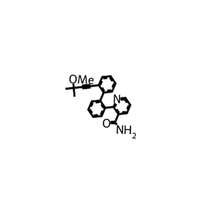 COC(C)(C)C#Cc1ccccc1-c1ccccc1-c1ncccc1C(N)=O